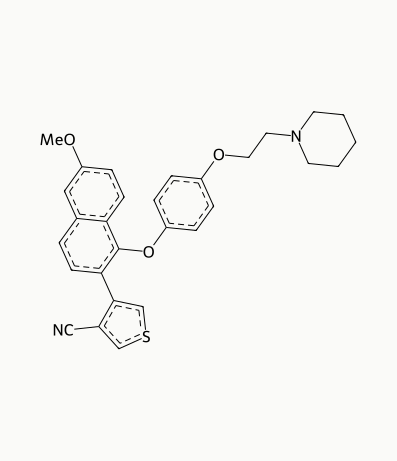 COc1ccc2c(Oc3ccc(OCCN4CCCCC4)cc3)c(-c3cscc3C#N)ccc2c1